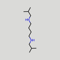 CC(C)CNCCCCNCC(C)C